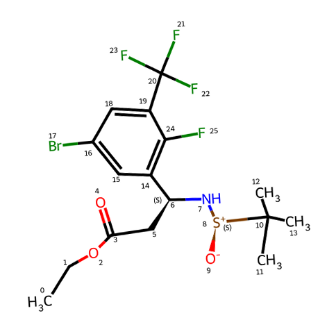 CCOC(=O)C[C@H](N[S@+]([O-])C(C)(C)C)c1cc(Br)cc(C(F)(F)F)c1F